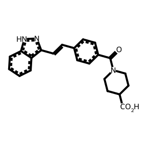 O=C(O)C1CCN(C(=O)c2ccc(C=Cc3n[nH]c4ccccc34)cc2)CC1